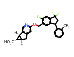 O=C(O)[C@H]1[C@@H]2Cc3cc(OCc4cc5c(cc4F)C(F)(F)CC5c4ccccc4C(F)(F)F)ncc3[C@@H]21